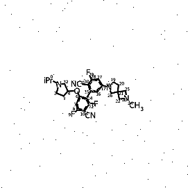 CC(C)N1CCC(Oc2cc(F)c(C#N)c(F)c2-c2cc(N3CCC4(CN(C)C4)C3)cc(F)c2C#N)C1